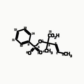 CC=CC(C)(OS(=O)(=O)c1ccccc1)C(=O)O